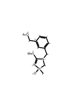 CSC1=N[N+](C)([O-])CN1Cc1cccc(COC(C)=O)c1